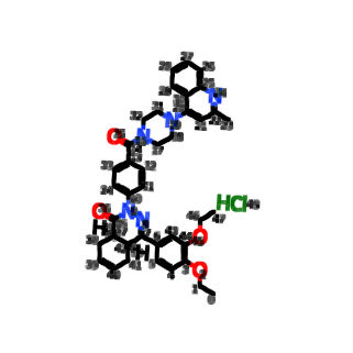 CCOc1ccc(C2=NN(c3ccc(C(=O)N4CCN(c5cc(C)nc6ccccc56)CC4)cc3)C(=O)[C@@H]3CC=CC[C@H]23)cc1OCC.Cl